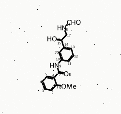 COc1ccccc1C(=O)Nc1cccc(C(O)CNC=O)c1